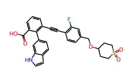 O=C(O)c1cccc(C#Cc2ccc(COC3CCS(=O)(=O)CC3)cc2F)c1-c1ccc2cc[nH]c2c1